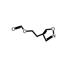 O=COCCc1cnoc1